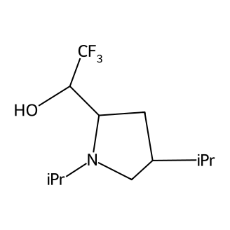 CC(C)C1CC(C(O)C(F)(F)F)N(C(C)C)C1